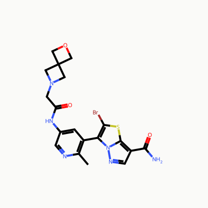 Cc1ncc(NC(=O)CN2CC3(COC3)C2)cc1-c1c(Br)sc2c(C(N)=O)cnn12